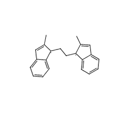 CC1=Cc2ccccc2[C]1CC[C]1C(C)=Cc2ccccc21